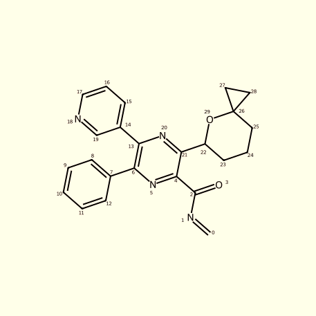 C=NC(=O)c1nc(-c2ccccc2)c(-c2cccnc2)nc1C1CCCC2(CC2)O1